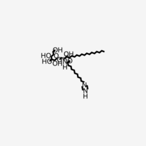 CCCCCCCCCCCCCCC[C@@H](O)[C@H](COC1OC(CO)C(O)C(O)C1O)NC(=O)CCCCCCCCCCN1CCNCC1